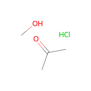 CC(C)=O.CO.Cl